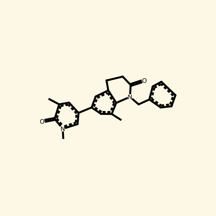 Cc1cc(-c2cc(C)c(=O)n(C)c2)cc2c1N(Cc1ccccc1)C(=O)CC2